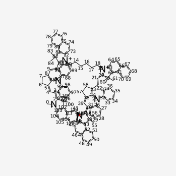 CN1C(=CC=C2CCC(C=CC3=[N+](CCCCCC[N+]4=C(C=CC5=C(N(c6ccccc6)c6ccccc6)C(=CC=C6N(C)c7ccc8ccccc8c7C6(C)C)CC5)C(C)(C)c5c4ccc4ccccc54)c4ccc5ccccc5c4C3(C)C)=C2N(c2ccccc2)c2ccccc2)C(C)(C)c2c1ccc1ccccc21